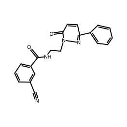 N#Cc1cccc(C(=O)NCCn2nc(-c3ccccc3)ccc2=O)c1